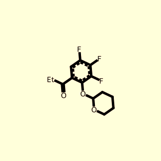 CCC(=O)c1cc(F)c(F)c(F)c1OC1CCCCO1